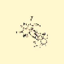 Cc1c(C#N)c2nnc(C(C)C)n2c(=C(C#N)C#N)/c1=C\C=C1\N2CCCc3cccc(c32)C1(C)C